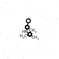 Cc1cc(C)c(Nc2ccc(C3CCCCC3)cc2)c(C)c1